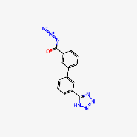 [N-]=[N+]=NC(=O)c1cccc(-c2cccc(-c3nnn[nH]3)c2)c1